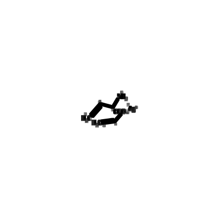 C=CC(=O)[O-].C=CCN.[Ag+]